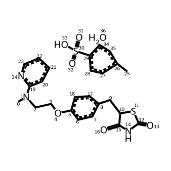 CN(CCOc1ccc(CC2SC(=O)NC2=O)cc1)c1ccccn1.Cc1ccc(S(=O)(=O)O)cc1.O